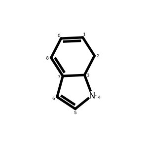 C1=CCC2[N]C=CC2=C1